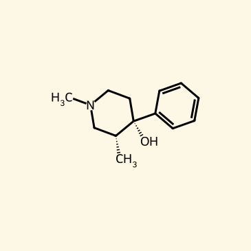 C[C@@H]1CN(C)CC[C@@]1(O)c1ccccc1